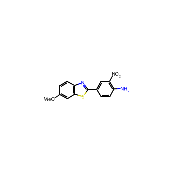 COc1ccc2nc(-c3ccc(N)c([N+](=O)[O-])c3)sc2c1